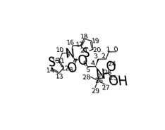 CCCC[C@H](COC(=O)N(Cc1cccs1)Cc1cccs1)N(C(=O)O)C(C)(C)C